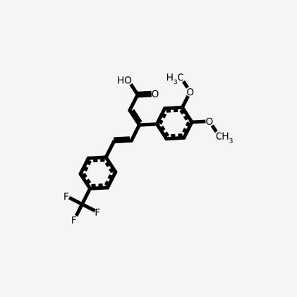 COc1ccc(C(=C\C(=O)O)/C=C/c2ccc(C(F)(F)F)cc2)cc1OC